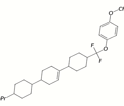 CCCC1CCC(C2CC=C(C3CCC(C(F)(F)Oc4ccc(OC(F)(F)F)cc4)CC3)CC2)CC1